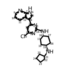 Clc1cc(-c2c[nH]c3ncccc23)nc(N[C@H]2CC[C@H](NC3CCCC3)CC2)n1